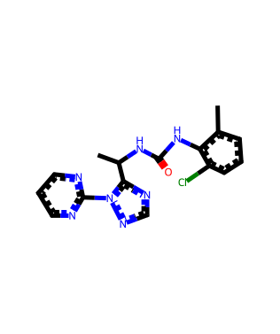 Cc1cccc(Cl)c1NC(=O)NC(C)c1ncnn1-c1ncccn1